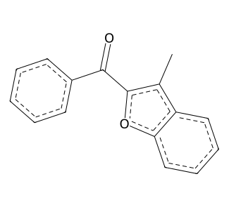 Cc1c(C(=O)c2ccccc2)oc2ccccc12